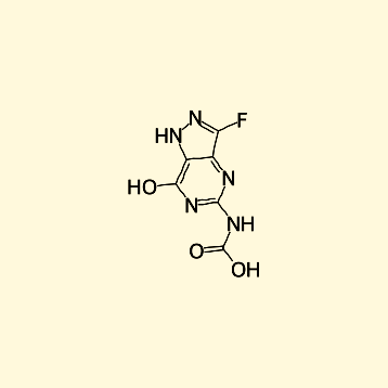 O=C(O)Nc1nc(O)c2[nH]nc(F)c2n1